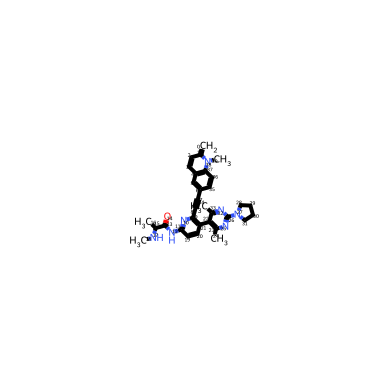 C=C1C=Cc2cc(C#Cc3nc(NC(=O)C(C)NC)ccc3-c3c(C)nc(N4CCCC4)nc3C)ccc2N1C